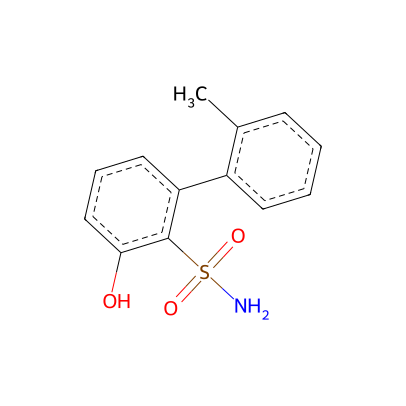 Cc1ccccc1-c1cccc(O)c1S(N)(=O)=O